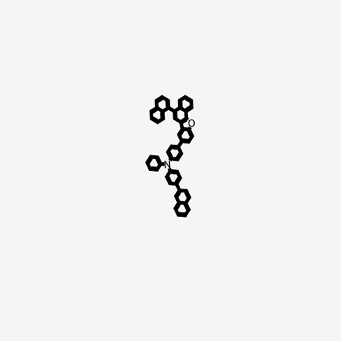 c1ccc(N(c2ccc(-c3ccc4ccccc4c3)cc2)c2ccc(-c3ccc4oc5c6ccccc6c(-c6cccc7ccccc67)cc5c4c3)cc2)cc1